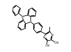 Cc1nc(C#N)c(C#N)nc1-c1ccc(N2c3ccccc3N(c3ccccc3)c3ccccc32)cc1